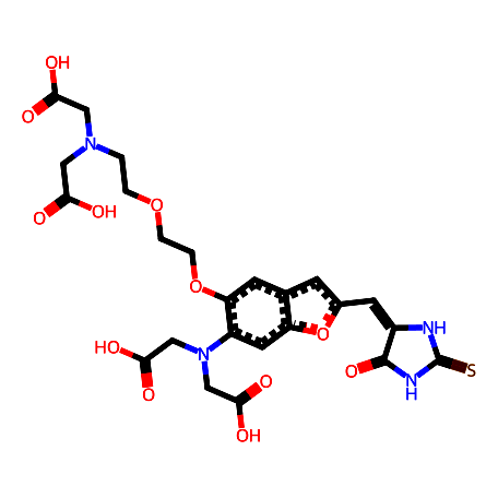 O=C(O)CN(CCOCCOc1cc2cc(C=C3NC(=S)NC3=O)oc2cc1N(CC(=O)O)CC(=O)O)CC(=O)O